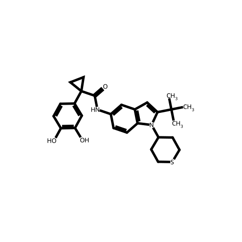 CC(C)(C)c1cc2cc(NC(=O)C3(c4ccc(O)c(O)c4)CC3)ccc2n1C1CCSCC1